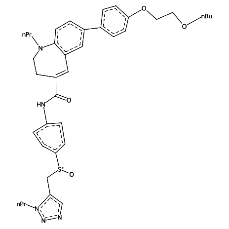 CCCCOCCOc1ccc(-c2ccc3c(c2)C=C(C(=O)Nc2ccc([S+]([O-])Cc4cnnn4CCC)cc2)CCN3CCC)cc1